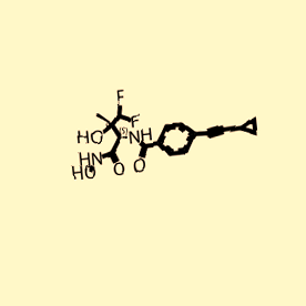 C[C@@](O)(C(F)F)[C@H](NC(=O)c1ccc(C#CC2CC2)cc1)C(=O)NO